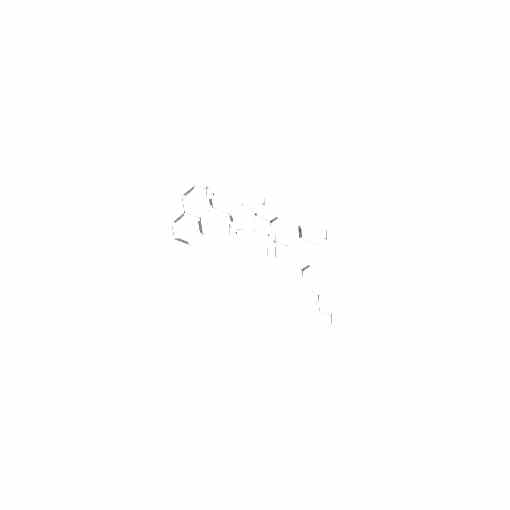 CC(C)C1(C(=O)N[C@@H](CC(=O)OCCF)C(=O)CF)CC(c2nccc3ccccc23)=NO1